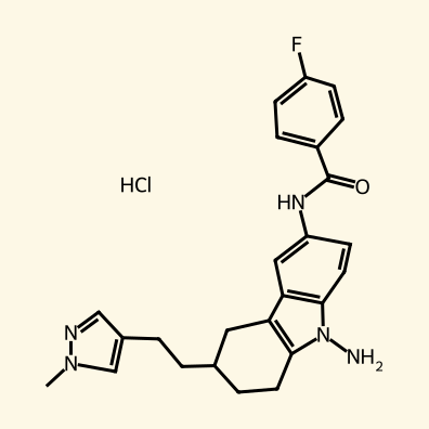 Cl.Cn1cc(CCC2CCc3c(c4cc(NC(=O)c5ccc(F)cc5)ccc4n3N)C2)cn1